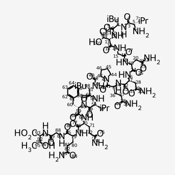 CC[C@H](C)[C@H](NC(=O)[C@@H](N)C(C)C)C(=O)N[C@H](C(=O)NCC(=O)N[C@@H](CC(N)=O)C(=O)N[C@@H](CC(N)=O)C(=O)N[C@@H](CCC(N)=O)C(=O)N1CCC[C@H]1C(=O)N[C@H](C(=O)N[C@H](C(=O)N[C@@H](Cc1ccccc1)C(=O)N[C@@H](CCC(N)=O)C(=O)N[C@@H](CCC(N)=O)C(=O)NCC(=O)N[C@H](C(=O)O)[C@@H](C)O)C(C)C)[C@@H](C)CC)[C@@H](C)O